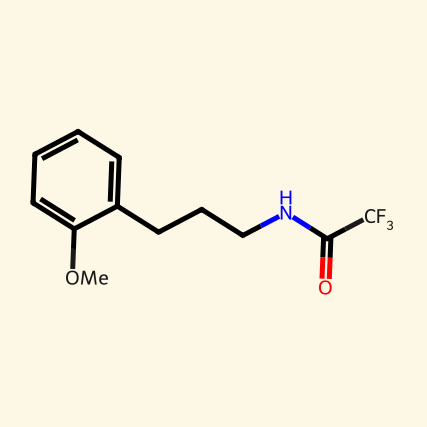 COc1ccccc1CCCNC(=O)C(F)(F)F